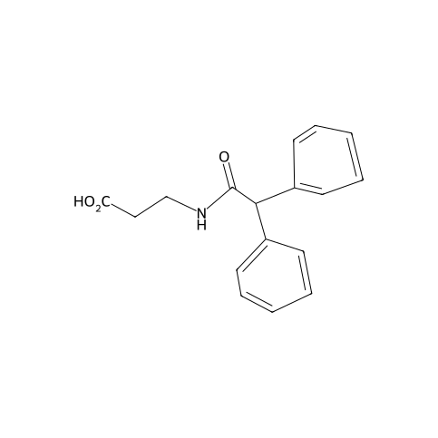 O=C(O)CCNC(=O)C(c1ccccc1)c1ccccc1